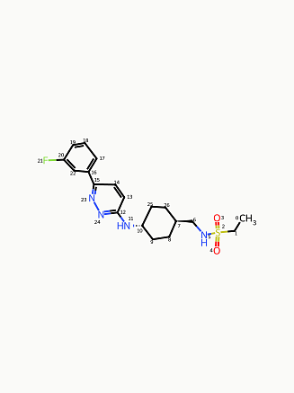 CCS(=O)(=O)NC[C@H]1CC[C@H](Nc2ccc(-c3cccc(F)c3)nn2)CC1